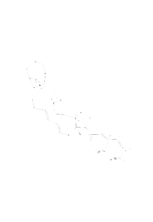 C[C@@]12CC=C3C=C4CC[C@@H](N5C6CCCC5CC6)C[C@]45CC[C@]3(O5)[C@@H]1CCC2c1ccc2ccncc2c1